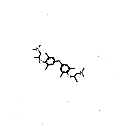 Cc1cc(Cc2cc(C)c(OC(C)CN(C)C)c(C)c2)cc(C)c1OC(C)CN(C)C